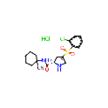 Cl.N#CC1(NC(=O)[C@@H]2C[C@@H](S(=O)(=O)c3ccccc3Cl)CN2)CCCCC1